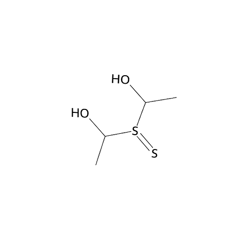 CC(O)S(=S)C(C)O